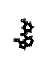 Oc1ccn2ncnc(Nc3cccc(Cl)c3)c12